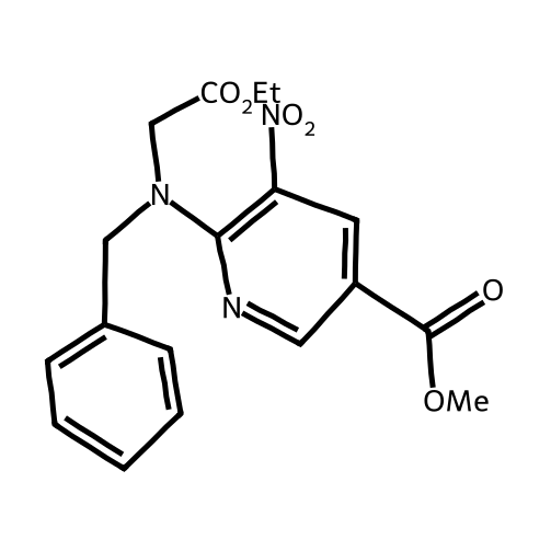 CCOC(=O)CN(Cc1ccccc1)c1ncc(C(=O)OC)cc1[N+](=O)[O-]